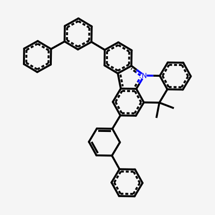 CC1(C)c2ccccc2-n2c3ccc(-c4cccc(-c5ccccc5)c4)cc3c3cc(C4=CC=CC(c5ccccc5)C4)cc1c32